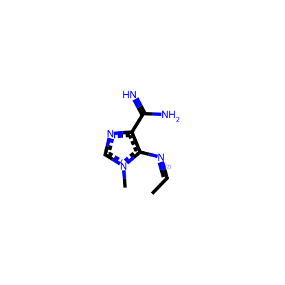 C/C=N\c1c(C(=N)N)ncn1C